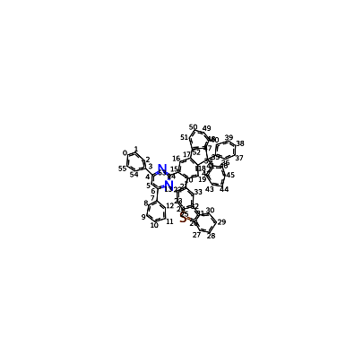 c1ccc(-c2cc(-c3ccccc3)nc(-c3cc4c(cc3-c3ccc5sc6ccccc6c5c3)C(c3ccccc3)(c3ccccc3)c3ccccc3-4)n2)cc1